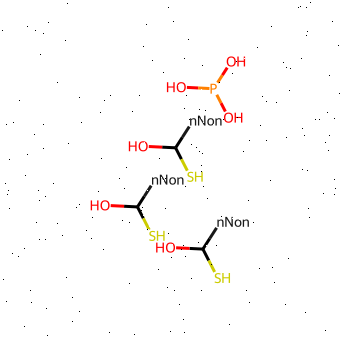 CCCCCCCCCC(O)S.CCCCCCCCCC(O)S.CCCCCCCCCC(O)S.OP(O)O